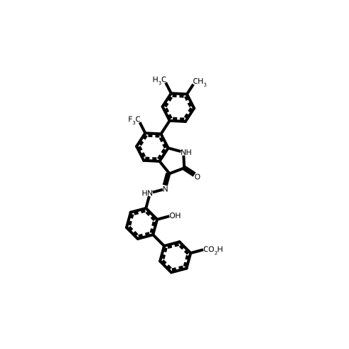 Cc1ccc(-c2c(C(F)(F)F)ccc3c2NC(=O)C3=NNc2cccc(-c3cccc(C(=O)O)c3)c2O)cc1C